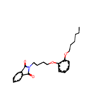 CCCCCCOc1ccccc1OCCCCN1C(=O)c2ccccc2C1=O